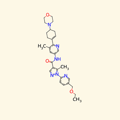 CCOCc1ccc(-n2ncc(C(=O)Nc3cnc(C4=CCC(N5CCOCC5)CC4)c(C)c3)c2C)nc1